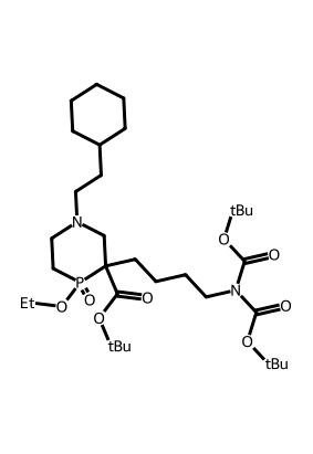 CCOP1(=O)CCN(CCC2CCCCC2)CC1(CCCCN(C(=O)OC(C)(C)C)C(=O)OC(C)(C)C)C(=O)OC(C)(C)C